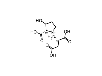 N[C@@H](CC(=O)O)C(=O)O.O=C(O)[C@H]1NCCC1O